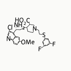 COc1ccc2ncc(Cl)c([C@H](N)CCC3CCN(CCSc4cc(F)cc(F)c4)CC3C(=O)O)c2c1